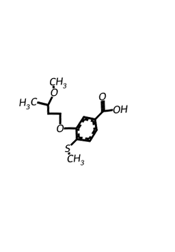 COC(C)CCOc1cc(C(=O)O)ccc1SC